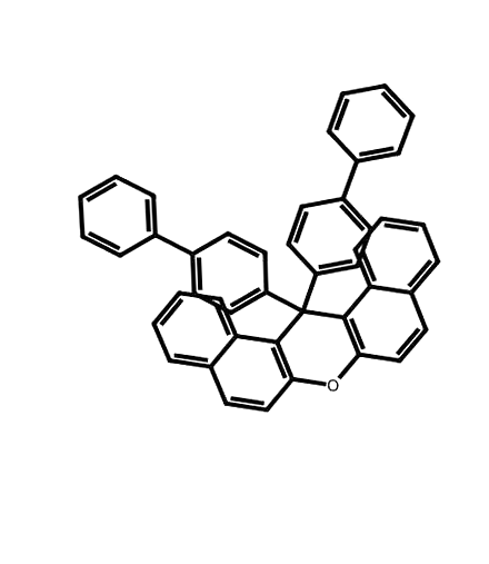 c1ccc(-c2ccc(C3(c4ccc(-c5ccccc5)cc4)c4c(ccc5ccccc45)Oc4ccc5ccccc5c43)cc2)cc1